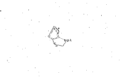 c1cc2c(s1)NCS2